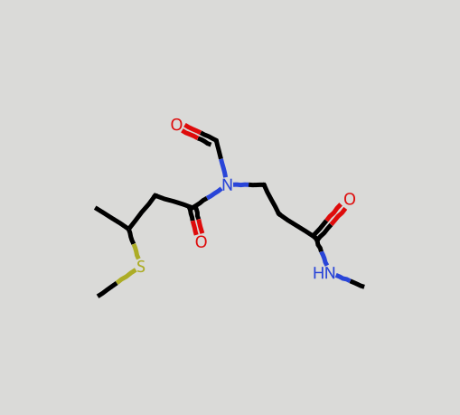 CNC(=O)CCN(C=O)C(=O)CC(C)SC